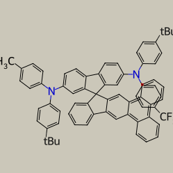 Cc1ccc(N(c2ccc(C(C)(C)C)cc2)c2ccc3c(c2)C2(c4ccccc4-c4cc5c6ccccc6c6ccccc6c5cc42)c2cc(N(c4ccc(C(C)(C)C)cc4)c4ccc(C(F)(F)F)cc4)ccc2-3)cc1